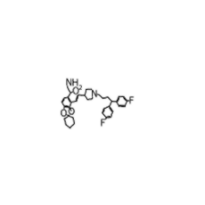 NCC1OC(C2CCN(CCCC(c3ccc(F)cc3)c3ccc(F)cc3)CC2)=Cc2c1ccc1c2OC2(CCCCC2)O1